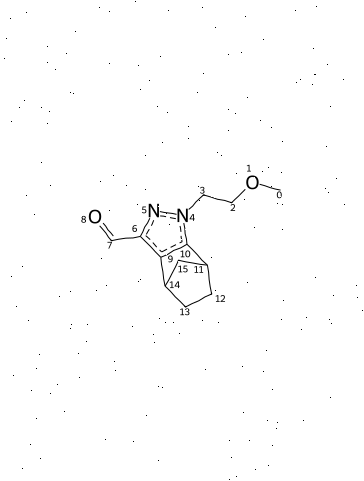 COCCn1nc(C=O)c2c1C1CCC2C1